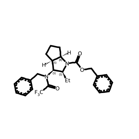 CC[C@H]1[C@@H](N(Cc2ccccc2)C(=O)C(F)(F)F)[C@H]2CCC[C@H]2N1C(=O)OCc1ccccc1